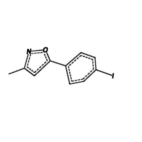 Cc1cc(-c2ccc(I)cc2)on1